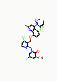 C/C=C(Cl)\C(=N/C)c1cc(C)nc2c(OCc3c(Cl)ccnc3Cn3cc(F)cc(C#N)c3=O)cccc12